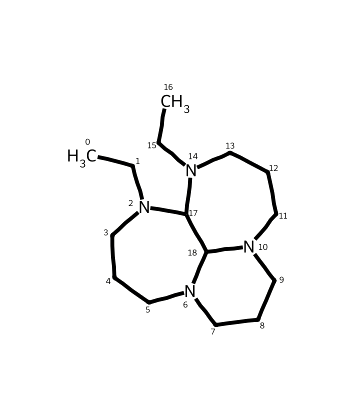 CCN1CCCN2CCCN3CCCN(CC)C1C23